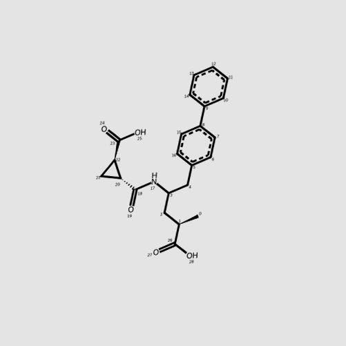 C[C@H](CC(Cc1ccc(-c2ccccc2)cc1)NC(=O)[C@@H]1C[C@H]1C(=O)O)C(=O)O